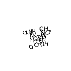 CCn1c([C@H](CCCNC(=N)CCl)NC(=O)c2cc(-c3ccccc3)ccc2C(=O)O)nc2ccccc21